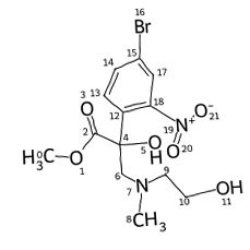 COC(=O)C(O)(CN(C)CCO)c1ccc(Br)cc1[N+](=O)[O-]